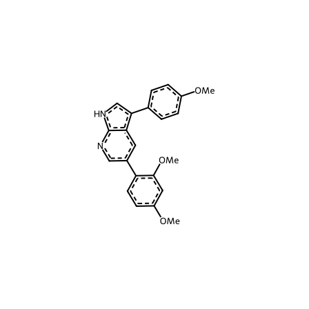 COc1ccc(-c2c[nH]c3ncc(-c4ccc(OC)cc4OC)cc23)cc1